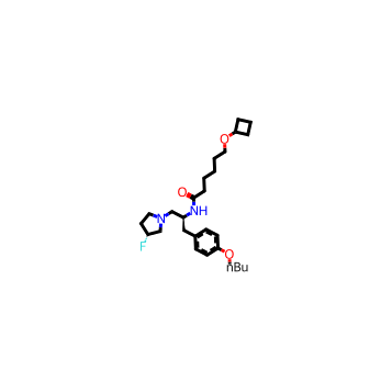 CCCCOc1ccc(C[C@@H](CN2CC[C@@H](F)C2)NC(=O)CCCCCOC2CCC2)cc1